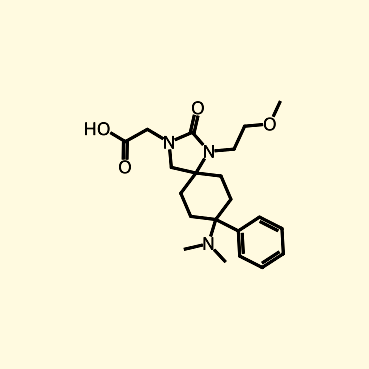 COCCN1C(=O)N(CC(=O)O)CC12CCC(c1ccccc1)(N(C)C)CC2